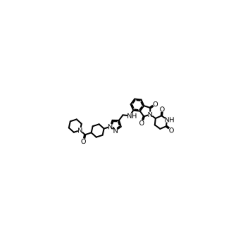 O=C1CCC(N2C(=O)c3cccc(NCc4cnn(C5CCC(C(=O)N6CCCCC6)CC5)c4)c3C2=O)C(=O)N1